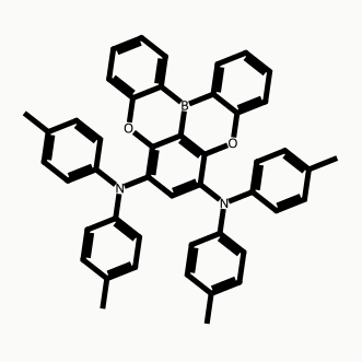 Cc1ccc(N(c2ccc(C)cc2)c2cc(N(c3ccc(C)cc3)c3ccc(C)cc3)c3c4c2Oc2ccccc2B4c2ccccc2O3)cc1